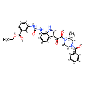 CCOC(=O)c1cccc(NC(=O)Nc2cccc3c(C(=O)C(=O)N4CCN(C(=O)c5ccccc5)C[C@H]4C)c[nH]c23)c1